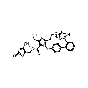 CCCc1nc(CO)c(C(=O)OCc2oc(=O)oc2C)n1Cc1ccc(-c2ccccc2-c2nnn[nH]2)cc1